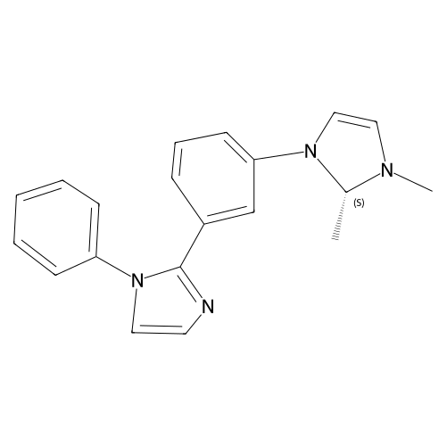 C[C@H]1N(C)C=CN1c1cccc(-c2nccn2-c2ccccc2)c1